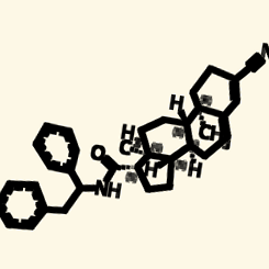 C[C@]12CC[C@H]3[C@@H](CC=C4C=C(C#N)CC[C@@]43C)[C@@H]1CC[C@@H]2C(=O)NC(Cc1ccccc1)c1ccccc1